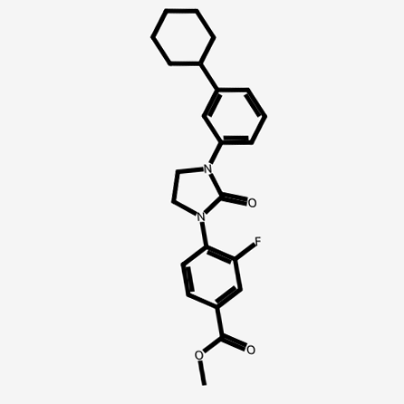 COC(=O)c1ccc(N2CCN(c3cccc(C4CCCCC4)c3)C2=O)c(F)c1